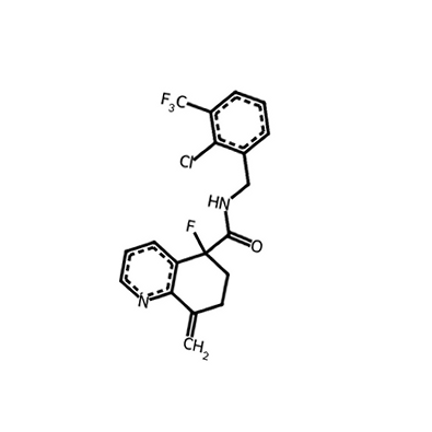 C=C1CCC(F)(C(=O)NCc2cccc(C(F)(F)F)c2Cl)c2cccnc21